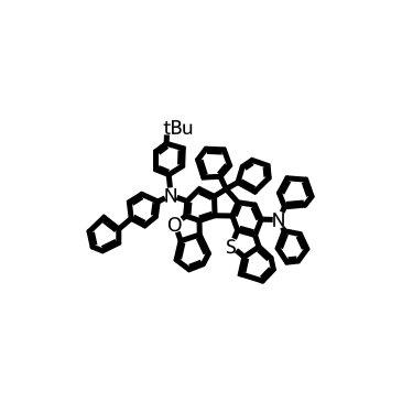 CC(C)(C)c1ccc(N(c2ccc(-c3ccccc3)cc2)c2cc3c(c4c2oc2ccccc24)-c2c(cc(N(c4ccccc4)c4ccccc4)c4c2sc2ccccc24)C3(c2ccccc2)c2ccccc2)cc1